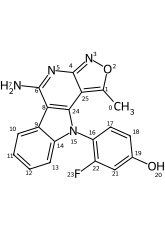 Cc1onc2nc(N)c3c4ccccc4n(-c4ccc(O)cc4F)c3c12